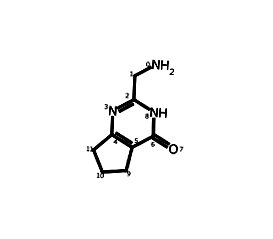 NCc1nc2c(c(=O)[nH]1)CCC2